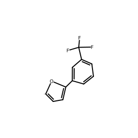 FC(F)(F)c1cccc(-c2cc[c]o2)c1